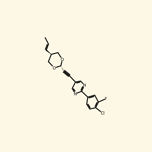 CC=C[C@H]1CO[C@H](C#Cc2cnc(-c3ccc(Cl)c(F)c3)nc2)OC1